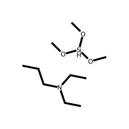 CCCN(CC)CC.CO[SiH](OC)OC